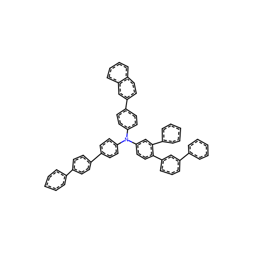 c1ccc(-c2ccc(-c3ccc(N(c4ccc(-c5ccc6ccccc6c5)cc4)c4ccc(-c5cccc(-c6ccccc6)c5)c(-c5ccccc5)c4)cc3)cc2)cc1